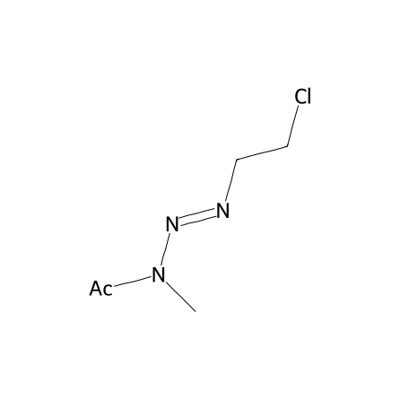 CC(=O)N(C)/N=N/CCCl